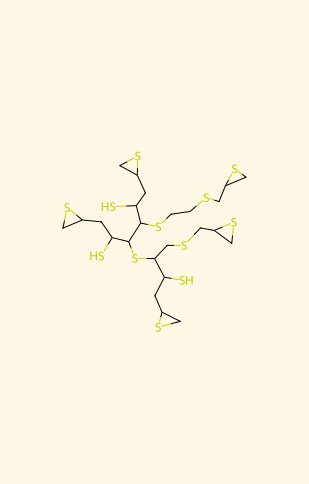 SC(CC1CS1)C(CSCC1CS1)SC(C(S)CC1CS1)C(SCCSCC1CS1)C(S)CC1CS1